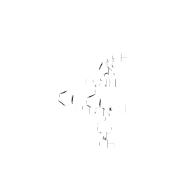 CN1CCC(N(C)c2cc(C(=O)Nc3ccn(C)n3)cc(Oc3ccccc3)n2)CC1